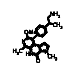 COc1nc(C)c2[nH]c(=O)c3c(ccn3C)c2c1-c1ccc(C(C)CN)cc1